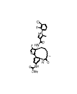 COC(=O)Nc1ccc2c(c1)NC(=O)[C@@H](C)CCC[C@@H](NC(=O)c1cnn(-c3cccc(Cl)c3F)c1C)c1cc-2ncc1F